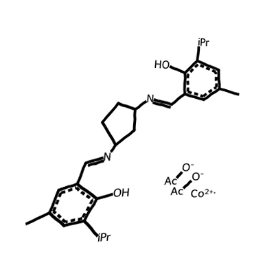 CC(=O)[O-].CC(=O)[O-].Cc1cc(C=NC2CCC(N=Cc3cc(C)cc(C(C)C)c3O)C2)c(O)c(C(C)C)c1.[Co+2]